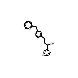 OC(CCc1csc(Cc2ccccn2)n1)c1nn[nH]n1